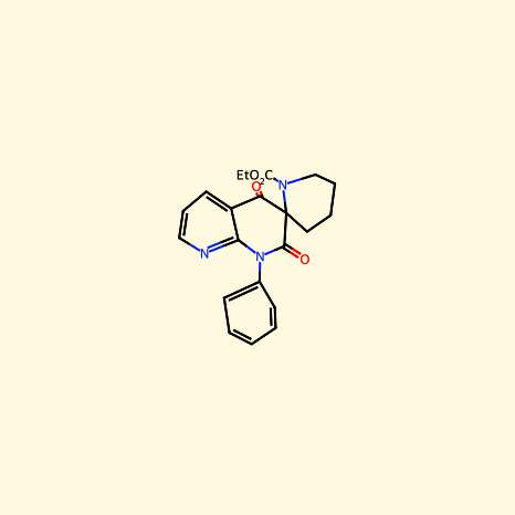 CCOC(=O)N1CCCCC12C(=O)c1cccnc1N(c1ccccc1)C2=O